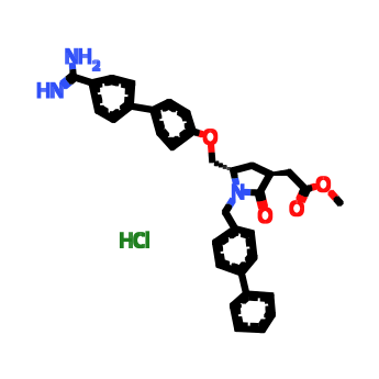 COC(=O)C[C@@H]1C[C@@H](COc2ccc(-c3ccc(C(=N)N)cc3)cc2)N(Cc2ccc(-c3ccccc3)cc2)C1=O.Cl